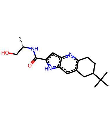 C[C@@H](CO)NC(=O)c1cc2nc3c(cc2[nH]1)CC(C(C)(C)C)CC3